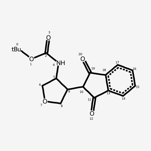 CC(C)(C)OC(=O)NC1COCC1C1C(=O)c2ccccc2C1=O